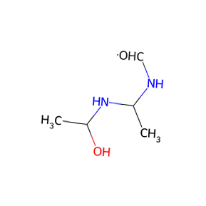 CC(O)NC(C)N[C]=O